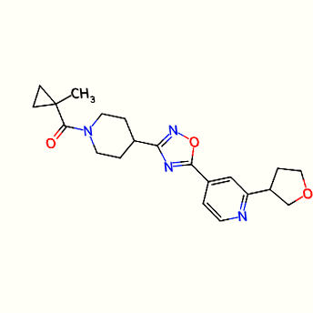 CC1(C(=O)N2CCC(c3noc(-c4ccnc(C5CCOC5)c4)n3)CC2)CC1